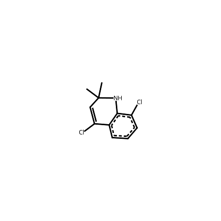 CC1(C)C=C(Cl)c2cccc(Cl)c2N1